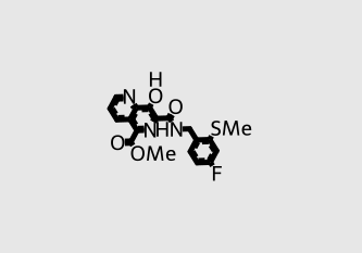 COC(=O)c1nc(C(=O)NCc2ccc(F)cc2SC)c(O)c2ncccc12